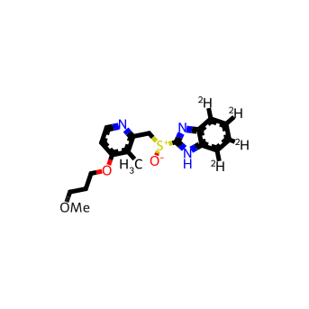 [2H]c1c([2H])c([2H])c2[nH]c([S+]([O-])Cc3nccc(OCCCOC)c3C)nc2c1[2H]